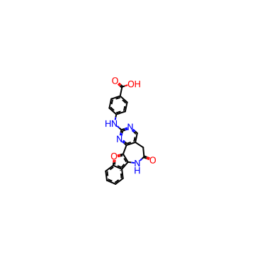 O=C1Cc2cnc(Nc3ccc(C(=O)O)cc3)nc2-c2oc3ccccc3c2N1